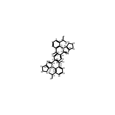 CC(C)c1cccc(C(C)C)c1-n1c(-c2ccc(-c3nc4c(n3-c3c(C(C)C)cccc3C(C)C)CCC4)cc2)nc2c1CCC2